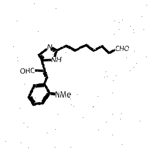 CNc1ccccc1/C=C(\C=O)c1cnc(CCCCCCC=O)[nH]1